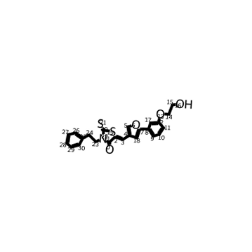 O=C1C(=Cc2coc(-c3cccc(OCCO)c3)c2)SC(=S)N1CCc1ccccc1